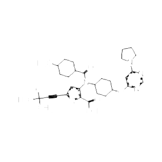 CC1CCC(C(=O)N(c2cc(C#CC(C)(C)C)sc2C(=O)O)C2CCC(Oc3cc(N4CCCC4)ncn3)CC2)CC1